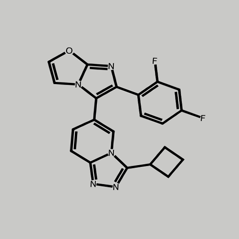 Fc1ccc(-c2nc3occn3c2-c2ccc3nnc(C4CCC4)n3c2)c(F)c1